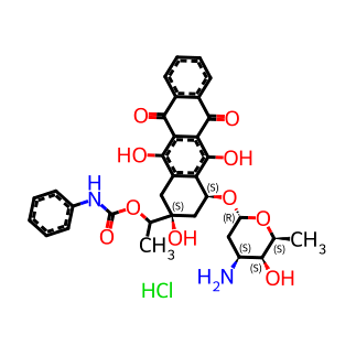 CC(OC(=O)Nc1ccccc1)[C@]1(O)Cc2c(O)c3c(c(O)c2[C@@H](O[C@H]2C[C@H](N)[C@H](O)[C@H](C)O2)C1)C(=O)c1ccccc1C3=O.Cl